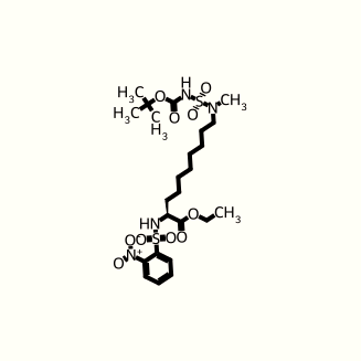 CCOC(=O)[C@H](CCCCCCCCN(C)S(=O)(=O)NC(=O)OC(C)(C)C)NS(=O)(=O)c1ccccc1[N+](=O)[O-]